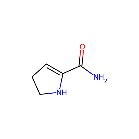 NC(=O)C1=CCCN1